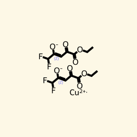 CCOC(=O)C(=O)/C=C(\[O-])C(F)F.CCOC(=O)C(=O)/C=C(\[O-])C(F)F.[Cu+2]